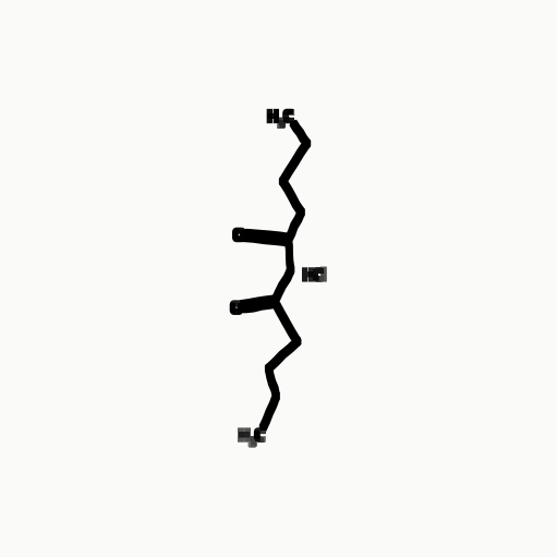 CCCCC(=O)CC(=O)CCCC.Cl